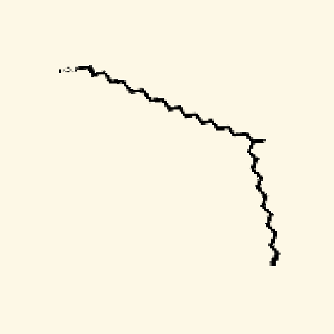 C=CCCCCCCCCCCCC(C)CCCCCCCCCCCCCCCCCC=CCCCCCCCC